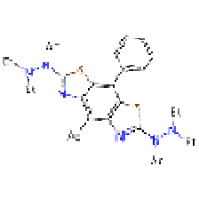 CCN(CC)N(C(C)=O)c1nc2c(C(C)=O)c3nc(N(C(C)=O)N(CC)CC)sc3c(-c3ccccc3)c2s1